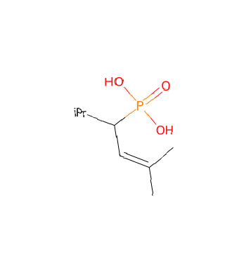 CC(C)=CC(C(C)C)P(=O)(O)O